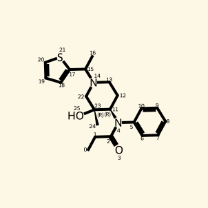 CCC(=O)N(c1ccccc1)[C@@H]1CCN(C(C)c2cccs2)C[C@@]1(C)O